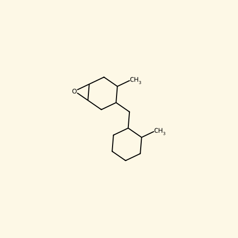 CC1CCCCC1CC1CC2OC2CC1C